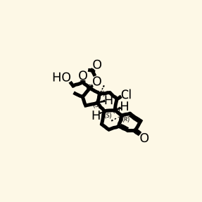 CC(=O)O[C@]1(C(=O)CO)C(C)C[C@H]2[C@@H]3CCC4=CC(=O)C=C[C@]4(C)[C@H]3C(Cl)C[C@@]21C